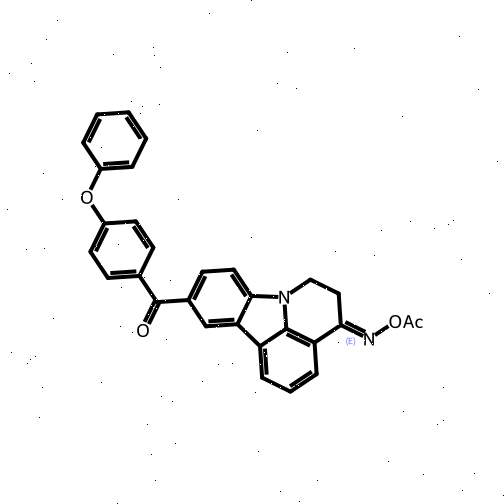 CC(=O)O/N=C1\CCn2c3ccc(C(=O)c4ccc(Oc5ccccc5)cc4)cc3c3cccc1c32